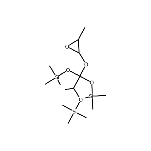 CC1OC1OC(O[Si](C)(C)C)(O[Si](C)(C)C)C(C)O[Si](C)(C)C